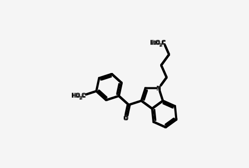 CCOC(=O)CCCn1cc(C(=O)c2cccc(C(=O)O)c2)c2ccccc21